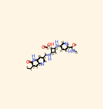 CCc1cc2ncc(CNC3CC(Nc4ccc(C(=O)NC)nc4)C3)cc2[nH]c1=O.O=CO